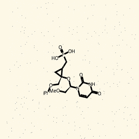 COC[C@@H](O[C@]1(COC(C)C)CC1CP(=O)(O)O)n1ccc(=O)[nH]c1=O